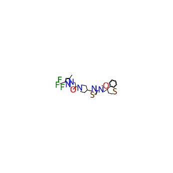 Cc1cc(C(F)(F)F)nn1CC(=O)N1CCC(c2nc(N3COC4(CCSc5ccccc54)C3)cs2)CC1